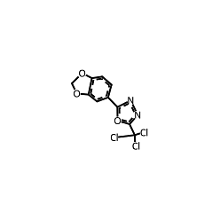 ClC(Cl)(Cl)c1nnc(-c2ccc3c(c2)OCO3)o1